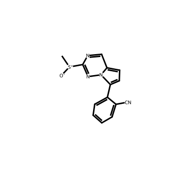 C[S+]([O-])c1ncc2ccc(-c3ccccc3C#N)n2n1